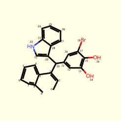 C/C=C(\c1ccccc1C)C(c1cc(O)c(O)c(Br)c1)c1c[nH]c2ccccc12